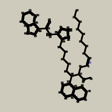 CCCCCCCC/C=C\CC(OC)C(CCCCCc1n[nH]cc1NC(=O)c1cnn2cccnc12)c1nccc2ccccc12